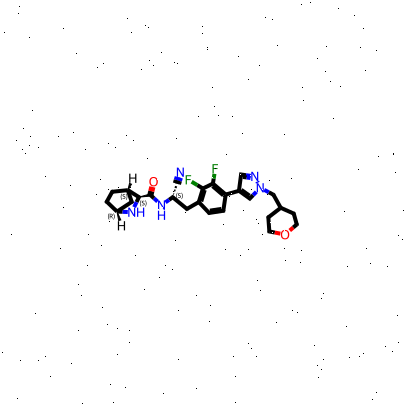 N#C[C@H](Cc1ccc(-c2cnn(CC3CCOCC3)c2)c(F)c1F)NC(=O)[C@H]1N[C@@H]2CC[C@H]1C2